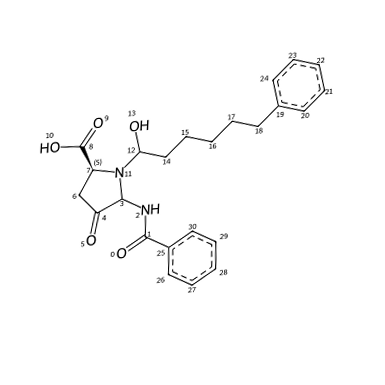 O=C(NC1C(=O)C[C@@H](C(=O)O)N1C(O)CCCCCc1ccccc1)c1ccccc1